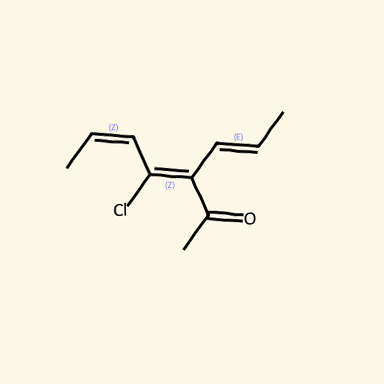 C\C=C/C(Cl)=C(\C=C\C)C(C)=O